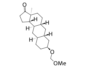 COCO[C@H]1CC[C@H]2C[C@@H]3[C@H](CC[C@]4(C)C(=O)CC[C@@H]34)C[C@@H]2C1